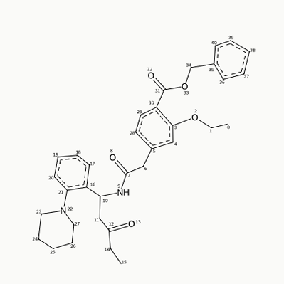 CCOc1cc(CC(=O)NC(CC(=O)CC)c2ccccc2N2CCCCC2)ccc1C(=O)OCc1ccccc1